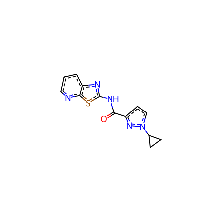 O=C(Nc1nc2cccnc2s1)c1ccn(C2CC2)n1